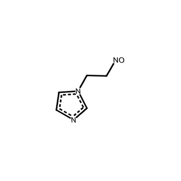 O=NCCn1ccnc1